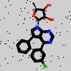 C[C@H]1O[C@@H](n2cc(-c3ccccc3)c3c(-c4cccc(Cl)c4)ncnc32)[C@H](O)[C@@H]1O